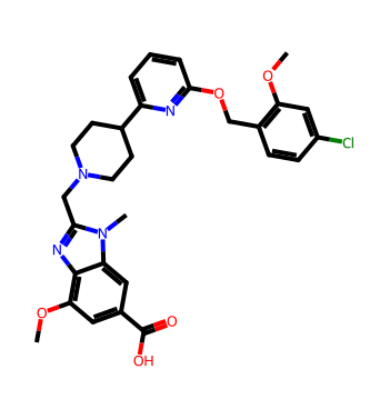 COc1cc(Cl)ccc1COc1cccc(C2CCN(Cc3nc4c(OC)cc(C(=O)O)cc4n3C)CC2)n1